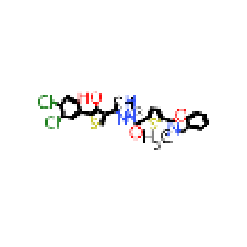 C/C(=N\NC(=O)c1ccc(C(=O)N(C)Cc2ccccc2)s1)c1csc(-c2ccc(Cl)c(Cl)c2)c1O